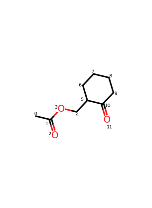 CC(=O)OCC1CCCCC1=O